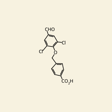 O=Cc1cc(Cl)c(OCc2ccc(C(=O)O)cc2)c(Cl)c1